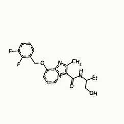 CCC(CO)NC(=O)c1c(C)nc2c(OCc3cccc(F)c3F)cccn12